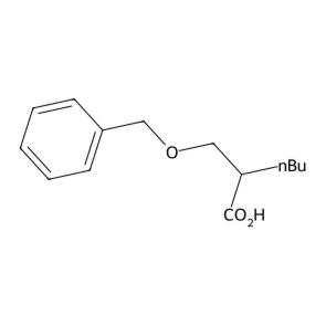 CCCCC(COCc1ccccc1)C(=O)O